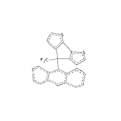 FC(F)(F)C1(c2c3ccccc3cc3ccccc23)c2ccsc2-c2sccc21